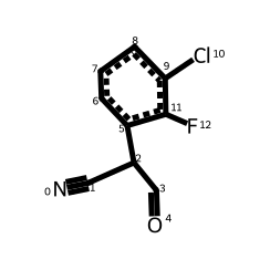 N#CC(C=O)c1cccc(Cl)c1F